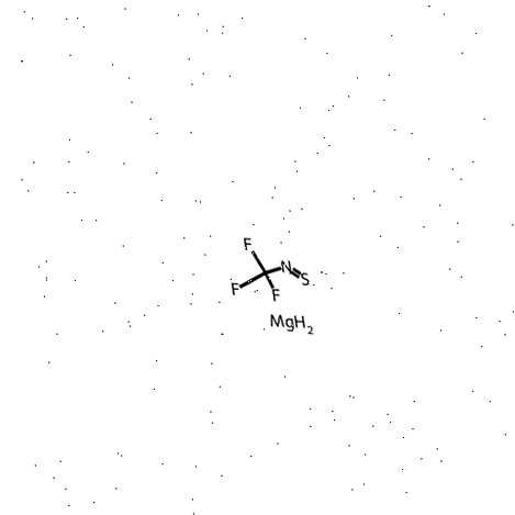 FC(F)(F)N=S.[MgH2]